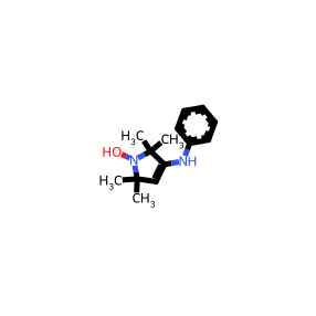 CC1(C)C=C(Nc2ccccc2)C(C)(C)N1O